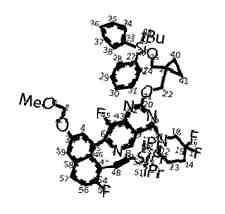 COCOc1cc(-c2ncc3c(N4CCCC(F)(F)C4)nc(OCC4(CO[Si](c5ccccc5)(c5ccccc5)C(C)(C)C)CC4)nc3c2F)c2c(C#C[Si](C(C)C)(C(C)C)C(C)C)c(F)ccc2c1